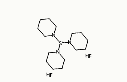 C1CCN([S+](N2CCCCC2)N2CCCCC2)CC1.F.F